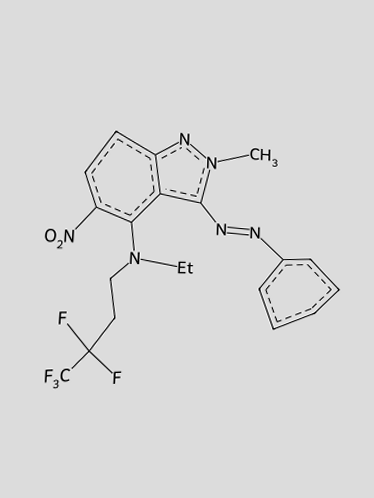 CCN(CCC(F)(F)C(F)(F)F)c1c([N+](=O)[O-])ccc2nn(C)c(N=Nc3ccccc3)c12